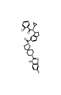 O=C(Nc1ccc(F)cc1F)N1CCC2(CC1)CCN(C(=O)c1ccc3c(c1)C(N(C(=O)c1ccccc1Cl)C1CC1)CC3)C2